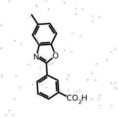 Cc1ccc2oc(-c3cccc(C(=O)O)c3)nc2c1